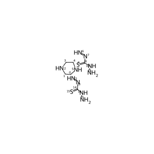 C1CNCCN1.N=NC(=S)NN.N=NC(=S)NN